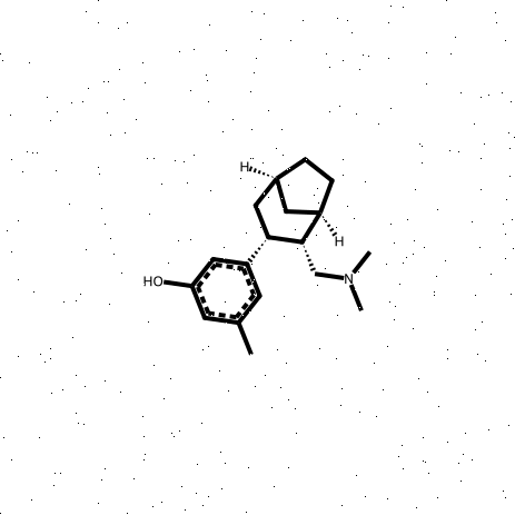 Cc1cc(O)cc([C@@H]2C[C@H]3CC[C@H](C3)[C@@H]2CN(C)C)c1